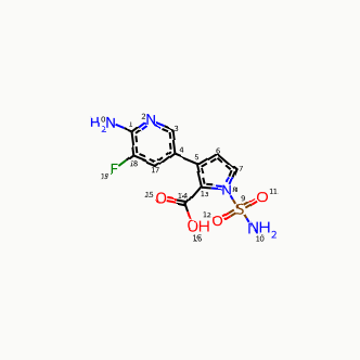 Nc1ncc(-c2ccn(S(N)(=O)=O)c2C(=O)O)cc1F